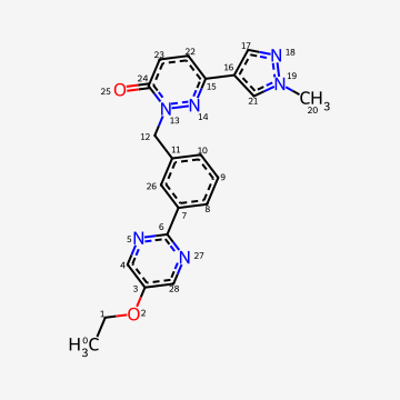 CCOc1cnc(-c2cccc(Cn3nc(-c4cnn(C)c4)ccc3=O)c2)nc1